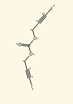 O=C(OCC#CI)OCC#CI